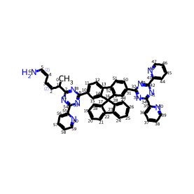 CC(/C=C\C=C/N)c1nc(-c2ccc3c(c2)C2(c4ccccc4-c4ccccc42)c2cc(-c4nc(-c5ccccn5)nc(-c5ccccn5)n4)ccc2-3)nc(-c2ccccn2)n1